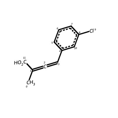 CC(=C=Cc1cccc(Cl)c1)C(=O)O